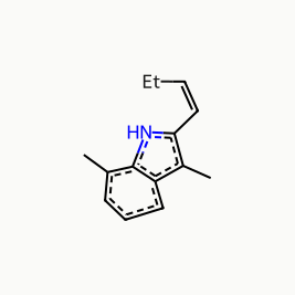 CC/C=C\c1[nH]c2c(C)cccc2c1C